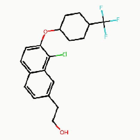 OCCc1ccc2ccc(OC3CCC(C(F)(F)F)CC3)c(Cl)c2c1